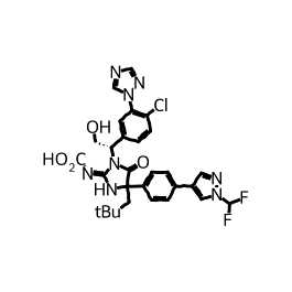 CC(C)(C)CC1(c2ccc(-c3cnn(C(F)F)c3)cc2)NC(=NC(=O)O)N([C@H](CO)c2ccc(Cl)c(-n3cncn3)c2)C1=O